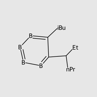 CCCC(CC)c1bbbbc1C(C)CC